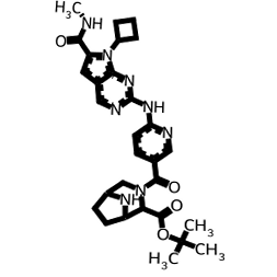 CNC(=O)c1cc2cnc(Nc3ccc(C(=O)N4CC5CCC(N5)C4C(=O)OC(C)(C)C)cn3)nc2n1C1CCC1